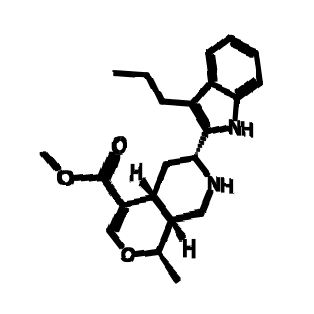 CCCc1c([C@H]2C[C@H]3C(C(=O)OC)=CO[C@H](C)[C@H]3CN2)[nH]c2ccccc12